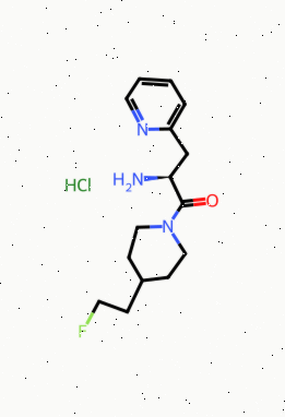 Cl.N[C@@H](Cc1ccccn1)C(=O)N1CCC(CCF)CC1